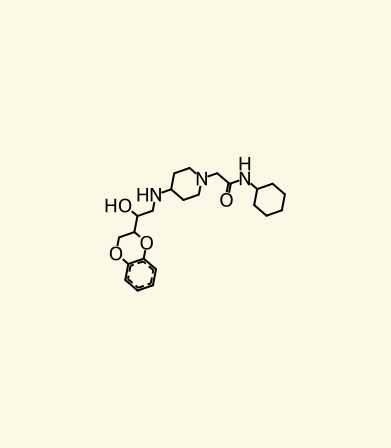 O=C(CN1CCC(NCC(O)C2COc3ccccc3O2)CC1)NC1CCCCC1